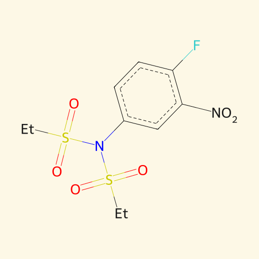 CCS(=O)(=O)N(c1ccc(F)c([N+](=O)[O-])c1)S(=O)(=O)CC